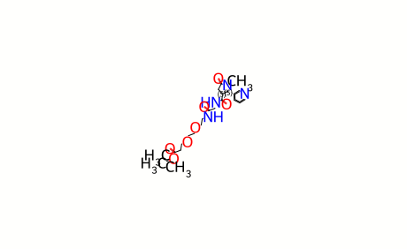 CN1C(=O)C[C@H](C(=O)NCC(=O)NCCOCCOCCC(=O)OC(C)(C)C)[C@H]1c1cccnc1